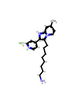 Cc1ccn2c(CCCCCCCCN)c(-c3ccncc3)nc2c1.Cl